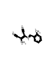 Cc1ccccc1C=N/C(C#N)=C(\N)C#N